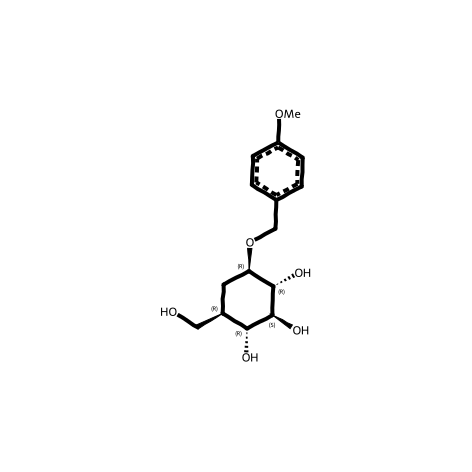 COc1ccc(CO[C@@H]2C[C@H](CO)[C@@H](O)[C@H](O)[C@H]2O)cc1